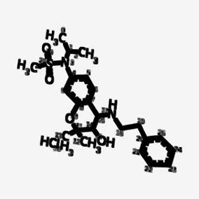 CC(C)N(c1ccc2c(c1)OC(C)(C)C(O)C2NCCc1ccccc1)S(C)(=O)=O.Cl